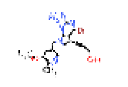 COc1cc(Cn2cc(C#CCO)c3c(Br)nc(N)nc32)cnc1C